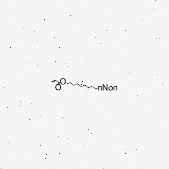 [CH2]CCCCCCCCCCCCCCCCCOC(=O)C=C